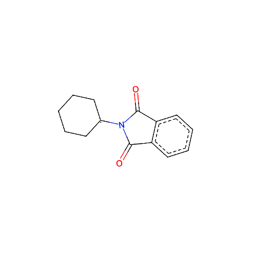 O=C1c2ccccc2C(=O)N1[C]1CCCCC1